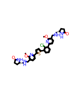 COc1nc(-c2ccc(-c3cccc(-c4ccc(CNC[C@@H]5CCC(=O)N5)c(OC)n4)c3Cl)s2)ccc1CNC[C@@H]1CCC(=O)N1